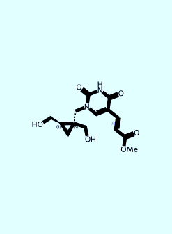 COC(=O)/C=C/c1cn(C[C@]2(CO)C[C@H]2CO)c(=O)[nH]c1=O